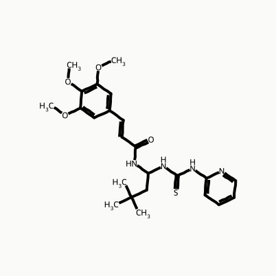 COc1cc(C=CC(=O)NC(CC(C)(C)C)NC(=S)Nc2ccccn2)cc(OC)c1OC